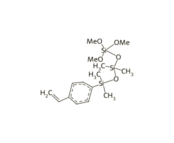 C=Cc1ccc([Si](C)(C)O[Si](C)(C)O[Si](OC)(OC)OC)cc1